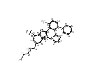 Cn1cnnc1-c1c(-c2ccccc2)ccc(F)c1-c1nc2cc(CNCCF)cc(C(F)(F)F)c2o1